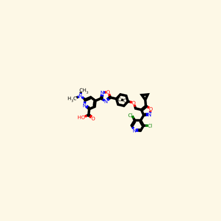 CN(C)c1cc(-c2noc(C34CCC(OCc5c(-c6c(Cl)cncc6Cl)noc5C5CC5)(CC3)CC4)n2)cc(C(=O)O)n1